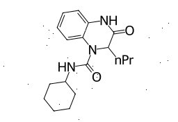 CCCC1C(=O)Nc2ccccc2N1C(=O)NC1CCCCC1